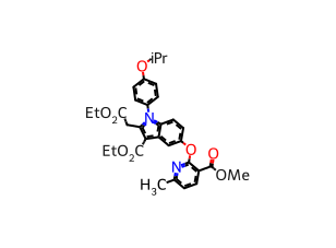 CCOC(=O)Cc1c(C(=O)OCC)c2cc(Oc3nc(C)ccc3C(=O)OC)ccc2n1-c1ccc(OC(C)C)cc1